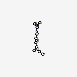 CC1(C)c2cc(-c3ccc(/C=C/c4ccc5c(c4)c4ccccc4n5-c4ccccc4)cc3)ccc2-c2ccc(-c3ccc4c(c3)c3ccccc3n4-c3ccc(-c4ccccc4)cc3)cc21